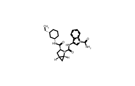 CC[C@@H]1CCC[C@H](NC(=O)[C@@H]2C[C@H]3C[C@H]3N2C(=O)Nc2cn(C(N)=O)c3ccccc23)C1